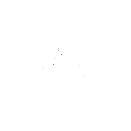 O.O=C1Cc2c(ccc3c2O[C@@H](CO)CO3)N1